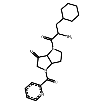 NC(CC1CCCCC1)C(=O)N1CCC2C1C(=O)CN2C(=O)c1ccccn1